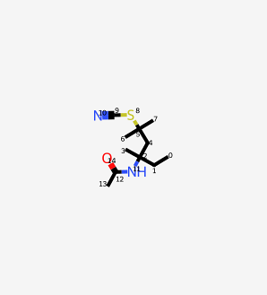 CCC(C)(CC(C)(C)SC#N)NC(C)=O